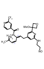 C=C(C)/C=C\C(=C/Cc1cc(NCCN=O)nc(C2(OC)COC2)c1)N(C)C(=O)c1ccnc(C(F)(F)F)c1